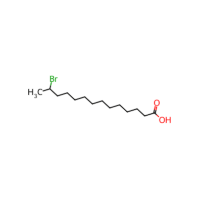 CC(Br)CCCCCCCCCCCC(=O)O